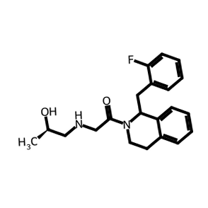 C[C@@H](O)CNCC(=O)N1CCc2ccccc2C1Cc1ccccc1F